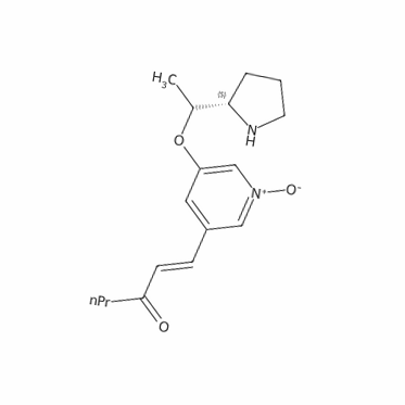 CCCC(=O)C=Cc1cc(OC(C)[C@@H]2CCCN2)c[n+]([O-])c1